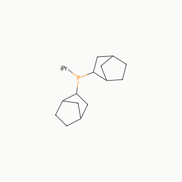 CC(C)P(C1CC2CCC1C2)C1CC2CCC1C2